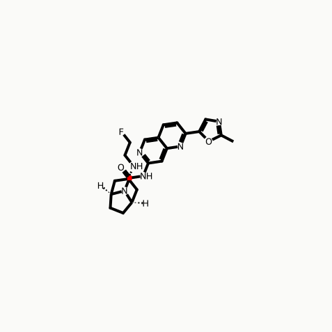 Cc1ncc(-c2ccc3cnc(NC(=O)N4[C@@H]5CC[C@H]4C[C@H](NCCF)C5)cc3n2)o1